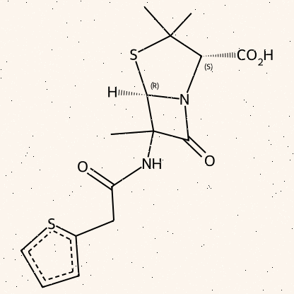 CC1(C)S[C@H]2N(C(=O)C2(C)NC(=O)Cc2cccs2)[C@H]1C(=O)O